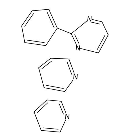 c1ccc(-c2ncccn2)cc1.c1ccncc1.c1ccncc1